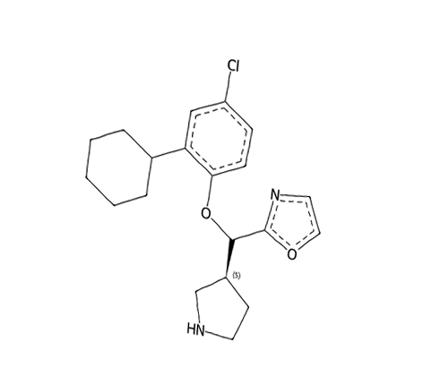 Clc1ccc(OC(c2ncco2)[C@H]2CCNC2)c(C2CCCCC2)c1